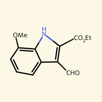 CCOC(=O)c1[nH]c2c(OC)cccc2c1C=O